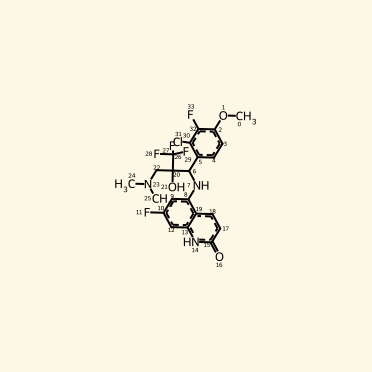 COc1ccc(C(Nc2cc(F)cc3[nH]c(=O)ccc23)C(O)(CN(C)C)C(F)(F)F)c(Cl)c1F